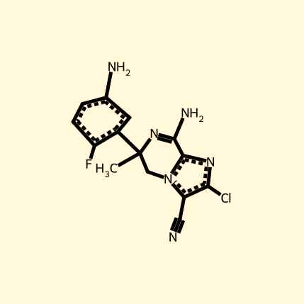 CC1(c2cc(N)ccc2F)Cn2c(nc(Cl)c2C#N)C(N)=N1